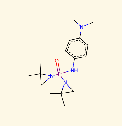 CN(C)c1ccc(NP(=O)(N2CC2(C)C)N2CC2(C)C)cc1